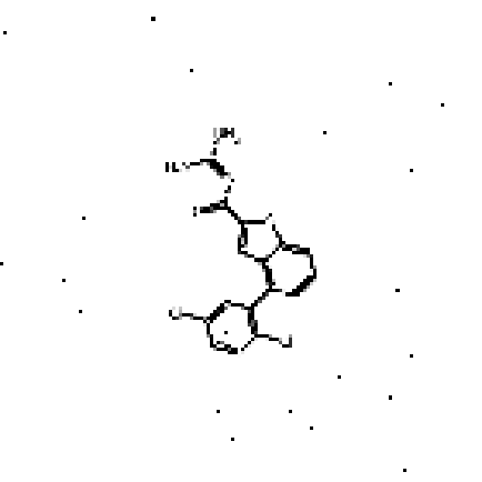 NC(N)=NC(=O)c1cc2c(-c3cc(Cl)ccc3Cl)cccc2s1